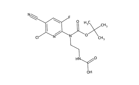 CC(C)(C)OC(=O)N(CCNC(=O)O)c1nc(Cl)c(C#N)cc1F